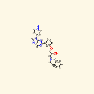 OC(COc1cccc(-c2ncc3ncn(C4CCNCC4)c3n2)c1)CN1CCc2ccccc2C1